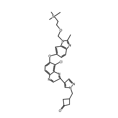 Cc1nc2ccc(Oc3ccc4ncc(-c5cnn(CC6CC(=O)C6)c5)nc4c3Cl)cc2n1COCC[Si](C)(C)C